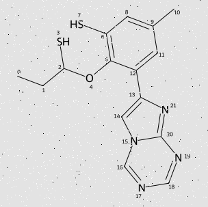 CCC(S)Oc1c(S)cc(C)cc1-c1cn2cncnc2n1